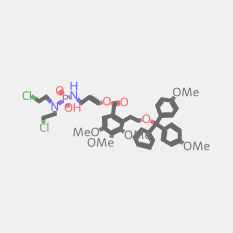 COc1ccc(C(OCCc2c(C(=O)OC=CCNP(=O)(O)N(CCCl)CCCl)cc(OC)c(OC)c2OC)(c2ccccc2)c2ccc(OC)cc2)cc1